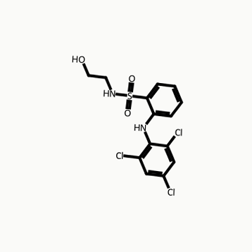 O=S(=O)(NCCO)c1ccccc1Nc1c(Cl)cc(Cl)cc1Cl